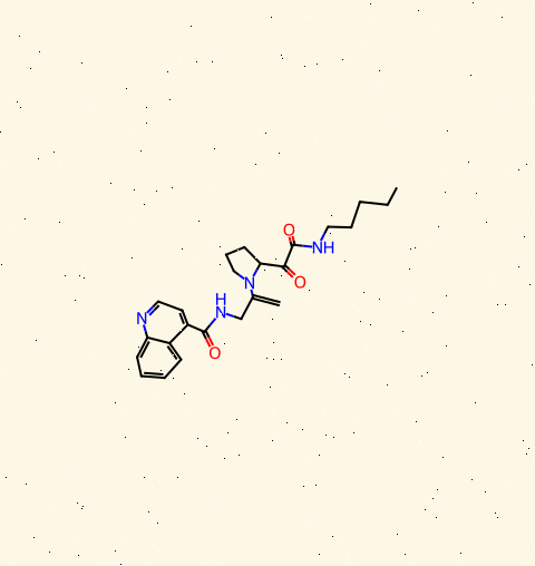 C=C(CNC(=O)c1ccnc2ccccc12)N1CCCC1C(=O)C(=O)NCCCCC